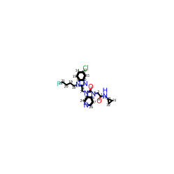 O=C(Cn1c(=O)n(Cc2nc3cc(Cl)ccc3n2CCCCF)c2cnccc21)NC1CC1